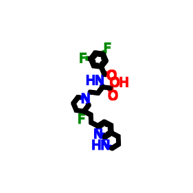 O=C(NC(CCN1CCC[C@](F)(CCc2ccc3c(n2)NCCC3)C1)C(=O)O)c1cc(F)cc(F)c1